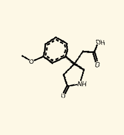 COc1cccc(C2(CC(=O)O)CNC(=O)C2)c1